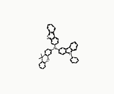 CC1(C)c2ccccc2Oc2cc(N(c3ccc4c(c3)sc3ccccc34)c3ccc4c(c3)c3ccccc3n4-c3ccccc3)ccc21